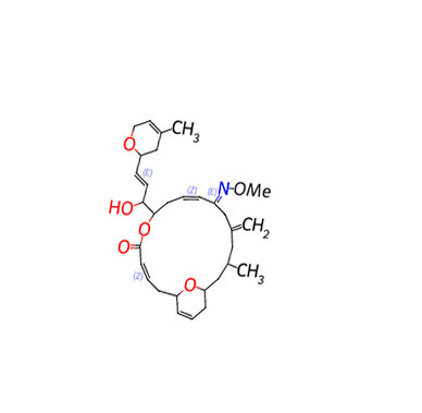 C=C1CC(=N\OC)/C=C\CC(C(O)/C=C/C2CC(C)=CCO2)OC(=O)/C=C\CC2C=CCC(CC(C)C1)O2